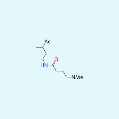 CNCCCC(=O)NC(C)CC(C)C(C)=O